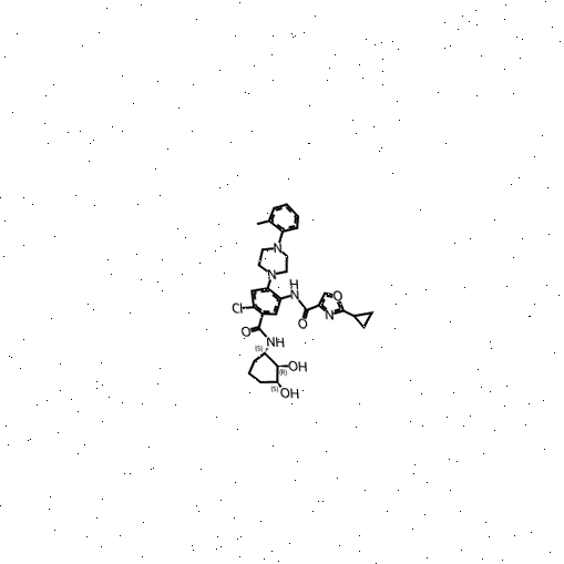 Cc1ccccc1N1CCN(c2cc(Cl)c(C(=O)N[C@H]3CCC[C@H](O)[C@@H]3O)cc2NC(=O)c2coc(C3CC3)n2)CC1